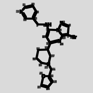 Brc1cnn2c(NCc3cccnc3)cc(C3CCCN(Cc4ccco4)C3)nc12